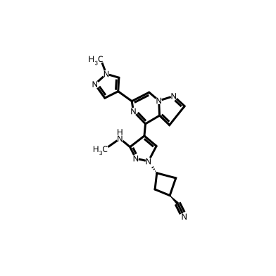 CNc1nn([C@H]2C[C@H](C#N)C2)cc1-c1nc(-c2cnn(C)c2)cn2nccc12